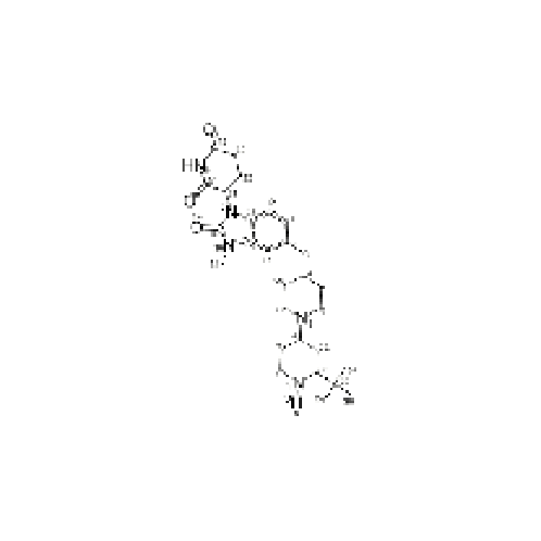 [2H]N1CCC(N2CCC(Cc3ccc4c(c3)n(C)c(=O)n4C3CCC(=O)NC3=O)CC2)CC1C(C)(C)C